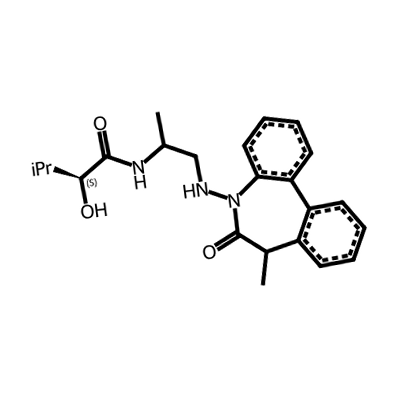 CC(CNN1C(=O)C(C)c2ccccc2-c2ccccc21)NC(=O)[C@@H](O)C(C)C